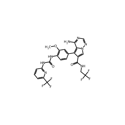 COc1cc(-c2c(C(=O)NCC(F)(F)F)cn3ncnc(N)c23)ccc1NC(=O)Nc1cccc(C(F)(F)F)n1